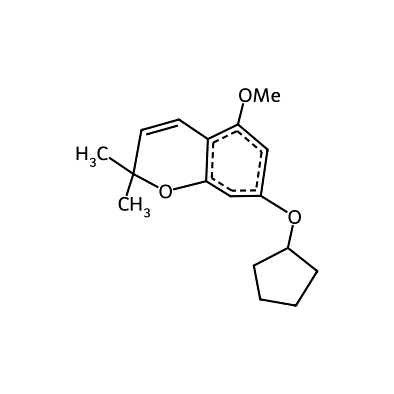 COc1cc(OC2CCCC2)cc2c1C=CC(C)(C)O2